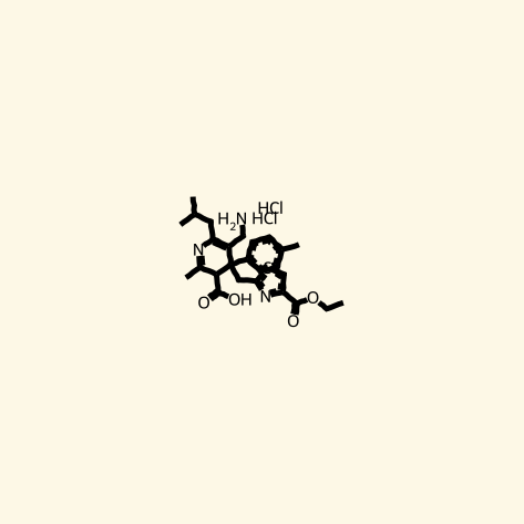 CCOC(=O)c1csc(CC2(c3ccc(C)cc3)C(CN)=C(CC(C)C)N=C(C)C2C(=O)O)n1.Cl.Cl